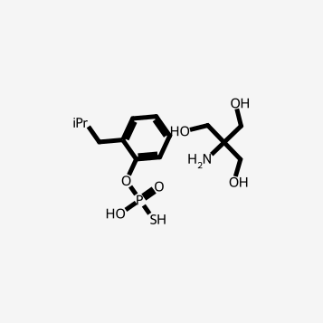 CC(C)Cc1ccccc1OP(=O)(O)S.NC(CO)(CO)CO